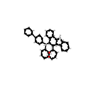 c1ccc(-c2ccc(N(c3ccccc3)c3c(-c4ccccc4)c4c5ccccc5oc4c4ccccc34)cc2)cc1